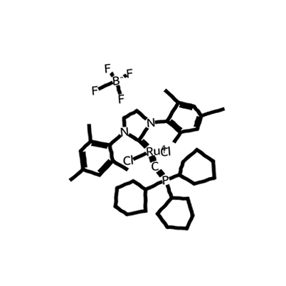 Cc1cc(C)c(N2CCN(c3c(C)cc(C)cc3C)[C]2=[Ru-4]([Cl])([Cl])=[C]=P(C2CCCCC2)(C2CCCCC2)C2CCCCC2)c(C)c1.F[B-](F)(F)F